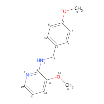 COc1ccc(CNc2ncccc2OC)cc1